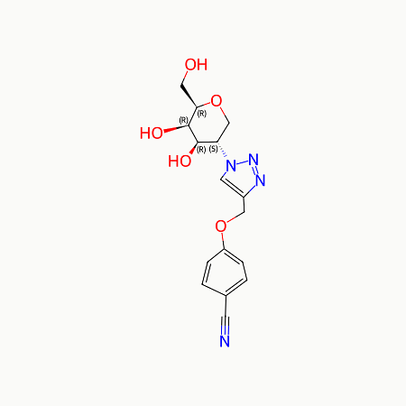 N#Cc1ccc(OCc2cn([C@H]3CO[C@H](CO)[C@H](O)[C@@H]3O)nn2)cc1